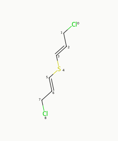 ClCC=CSC=CCCl